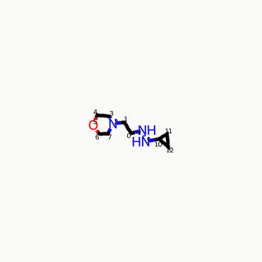 C(CN1CCOCC1)NNC1CC1